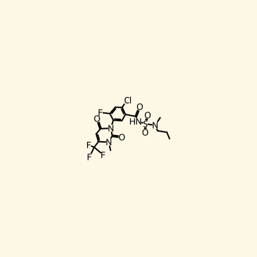 CCCN(C)S(=O)(=O)NC(=O)c1cc(-n2c(=O)cc(C(F)(F)F)n(C)c2=O)c(F)cc1Cl